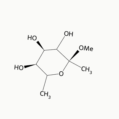 CO[C@@]1(C)OC(C)[C@@H](O)[C@@H](O)C1O